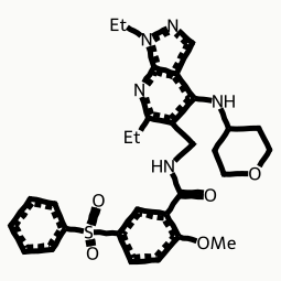 CCc1nc2c(cnn2CC)c(NC2CCOCC2)c1CNC(=O)c1cc(S(=O)(=O)c2ccccc2)ccc1OC